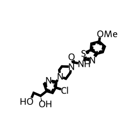 COc1ccc2nc(NC(=O)N3CCN(c4ncc([C@H](O)CO)cc4Cl)CC3)sc2c1